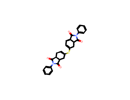 O=C1C2CC=C(SC3=CCC4C(=O)N(c5ccccc5)C(=O)C4C3)CC2C(=O)N1c1ccccc1